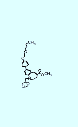 CCCCOCCOc1ccc(-c2ccc3c(c2)/C=C(/C(=O)OC)CCCN3CC2COCCO2)cc1